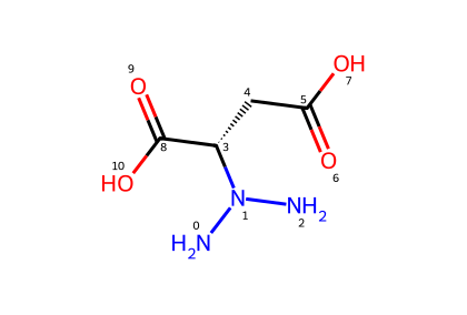 NN(N)[C@@H](CC(=O)O)C(=O)O